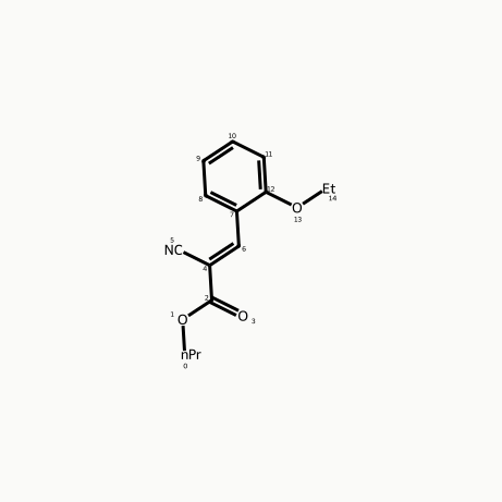 CCCOC(=O)/C(C#N)=C/c1ccccc1OCC